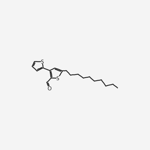 CCCCCCCCCCc1cc(-c2cccs2)c(C=O)s1